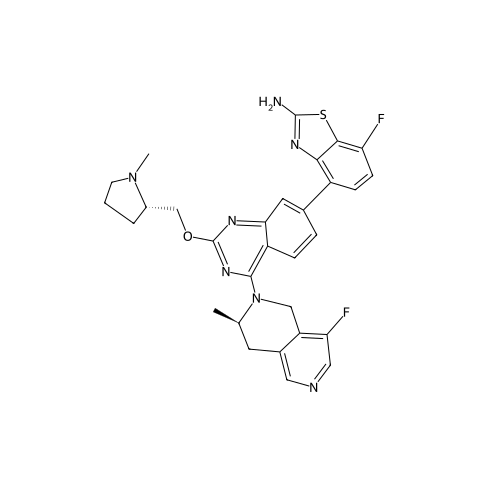 C[C@@H]1Cc2cncc(F)c2CN1c1nc(OC[C@@H]2CCCN2C)nc2cc(-c3ccc(F)c4sc(N)nc34)ccc12